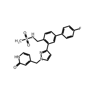 CS(=O)(=O)NCc1ccc(-c2ccc(F)cc2)cc1-c1ccn(Cc2cc[nH]c(=O)c2)n1